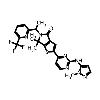 CC(c1cccc(C(F)(F)F)n1)N1C(=O)c2cc(-c3ccnc(Nc4ccnn4C)n3)sc2C1(C)C